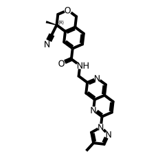 Cc1cnn(-c2ccc3cnc(CNC(=O)c4ccc5c(c4)[C@](C)(C#N)COC5)cc3n2)c1